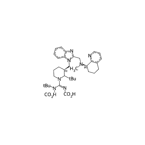 CN(Cc1nc2ccccc2n1C[C@@H]1CCCN(C(=NC(=O)O)N(C(=O)O)C(C)(C)C)C1C(C)(C)C)[C@@H]1CCCc2cccnc21